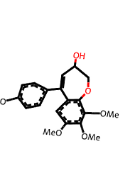 COc1ccc(C2=CC(O)COc3c2cc(OC)c(OC)c3OC)cc1